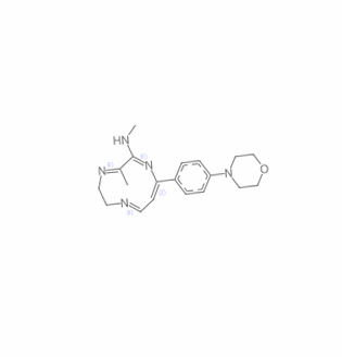 CNC1=N/C(c2ccc(N3CCOCC3)cc2)=C\C=N\CC\N=C\1C